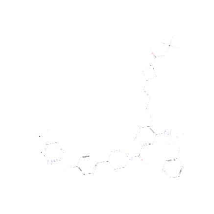 CC(C)(C)OC(=O)N1CC(/C=C/COc2ccc(C(=O)N3CCC(c4ccc(Oc5ccc(C(F)(F)F)nn5)cc4)CC3)cc2NS(=O)(=O)Cc2ccccc2)C1